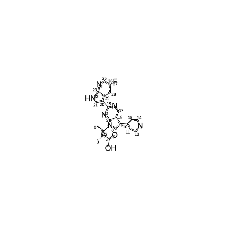 C[C@H]([C@@H](C)C(=O)O)n1cc(-c2ccncc2)c2cnc(-c3c[nH]c4ncc(F)cc34)nc21